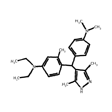 CCN(CC)c1ccc(C(c2ccc(N(C)C)cc2)c2c(C)n[nH]c2C)c(C)c1